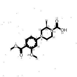 COC(=O)c1ccc(N2CCN(C(=O)O)[C@H](C)C2)cc1OC